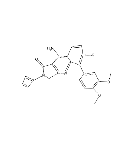 COc1ccc(-c2c(F)ccc3c(N)c4c(nc23)CN(C2=CC=C2)C4=O)cc1OC